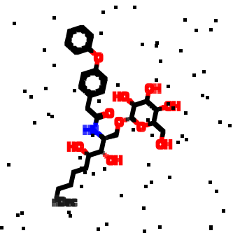 CCCCCCCCCCCCCC[C@@H](O)[C@@H](O)[C@H](CO[C@H]1OC(CO)[C@H](O)C(O)[C@@H]1O)NC(=O)Cc1ccc(Oc2ccccc2)cc1